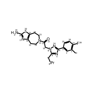 Cc1cc(-c2nc(CC(C)C)n(CC(=O)N3CCc4nc(N)sc4CC3)n2)ccc1F